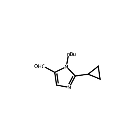 CCCCn1c(C=O)cnc1C1CC1